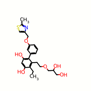 CCc1c(O)cc(O)c(-c2cccc(OCc3csc(C)n3)c2)c1CCOCC(O)CO